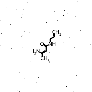 C=CCNC(=O)/C=C(/C)N